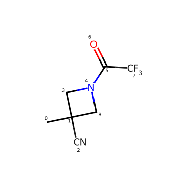 CC1(C#N)CN(C(=O)C(F)(F)F)C1